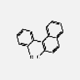 Cc1ccccc1-c1c(C=O)ccc2ccccc12